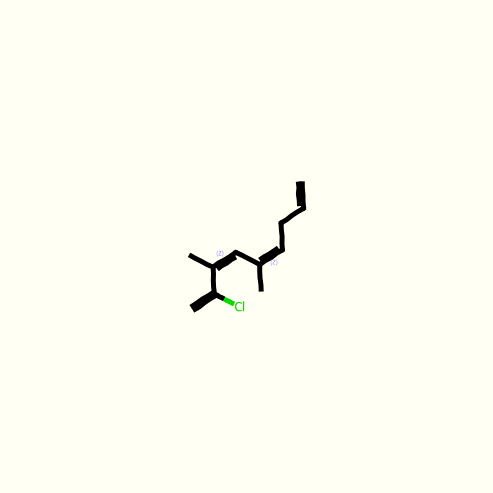 C=CC/C=C(C)\C=C(\C)C(=C)Cl